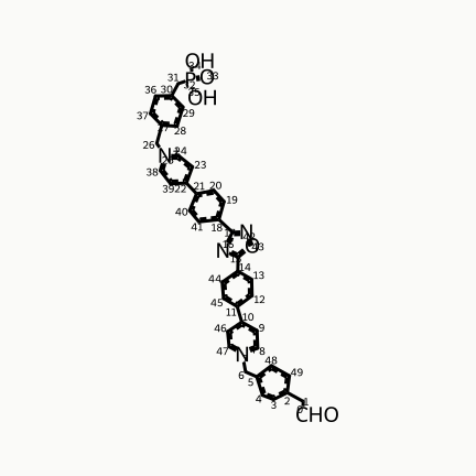 O=CCc1ccc(C[n+]2ccc(-c3ccc(-c4nc(-c5ccc(-c6cc[n+](Cc7ccc(CP(=O)(O)O)cc7)cc6)cc5)no4)cc3)cc2)cc1